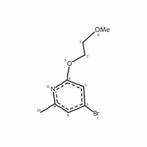 COCCOc1cc(Br)cc(C)n1